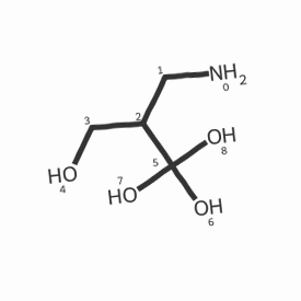 NCC(CO)C(O)(O)O